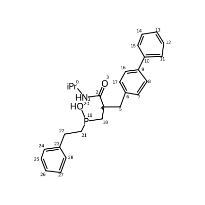 CC(C)NC(=O)C(Cc1ccc(-c2ccccc2)cc1)CP(O)CCc1ccccc1